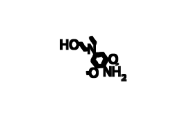 CCN(CCO)c1cc(OC)c(N)c(OC)c1